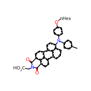 CCCCCCOc1ccc(N(c2ccc(C)cc2)c2ccc3c4ccc5c6c(ccc(c7cccc2c73)c64)C(=O)N(CC(=O)O)C5=O)cc1